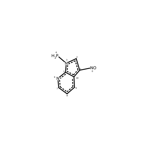 O=Nc1cn(P)c2ncccc12